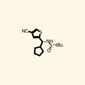 CC(C)(C)[S@+]([O-])N[C@@H](c1cc(C#N)cs1)C1CCCC1